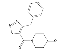 O=C1CCN(C(=O)c2snnc2Cc2ccccc2)CC1